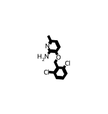 Cc1ccc(OCc2c(Cl)cccc2Cl)c(N)n1